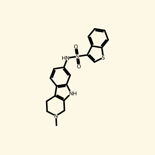 CN1CCc2c([nH]c3cc(NS(=O)(=O)c4csc5ccccc45)ccc23)C1